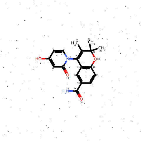 CC1=C(n2ccc(O)cc2=O)c2cc(C(N)=O)ccc2OC1(C)C